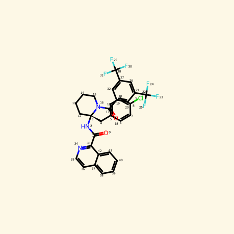 O=C(N[C@]1(Cc2ccc(Cl)cc2)CCCCN1C(=O)c1cc(C(F)(F)F)cc(C(F)(F)F)c1)c1nccc2ccccc12